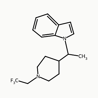 CC(C1CCN(CC(F)(F)F)CC1)n1ccc2ccccc21